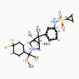 CCOC(CC)(C1CCC(F)(F)CC1)N1C[C@@H]2[C@H](C1)C2(CC)c1cccc(NS(=O)(=O)C2CC2)c1